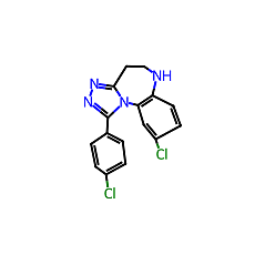 Clc1ccc(-c2nnc3n2-c2cc(Cl)ccc2NCC3)cc1